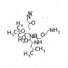 CC(C)C[C@H](NC(=O)COCCN)C(=O)N[C@@H](CCC(=O)C=[N+]=[N-])C(=O)OC(C)(C)C